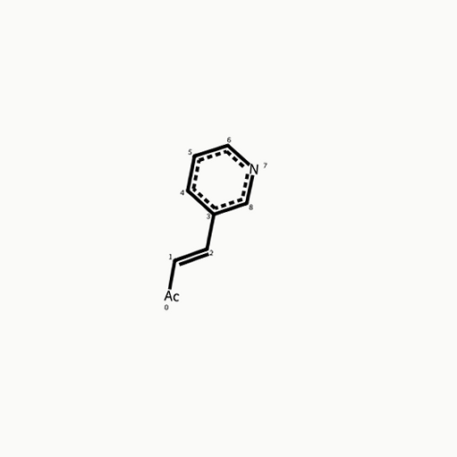 CC(=O)C=Cc1cccnc1